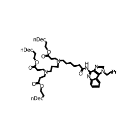 CCCCCCCCCCCCOC(=O)CCN(CCCCCC(=O)Nc1nc2ccccc2c2c1ncn2CC(C)C)CCCN(CCC(=O)OCCCCCCCCCCCC)CCC(=O)OCCCCCCCCCCCC